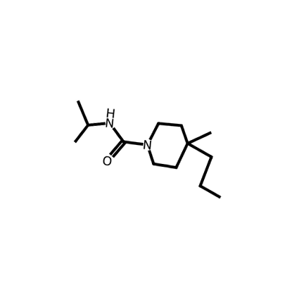 CCCC1(C)CCN(C(=O)NC(C)C)CC1